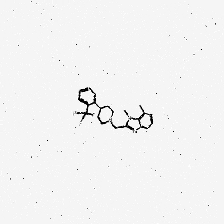 Cc1cccc2nc(CN3CCC(c4ccccc4C(F)(F)F)CC3)n(C)c12